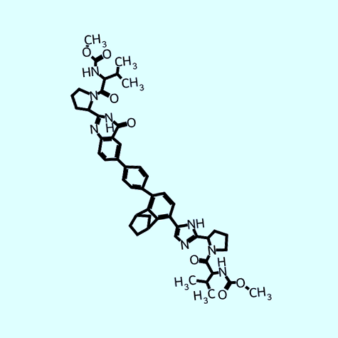 COC(=O)NC(C(=O)N1CCCC1c1ncc(-c2ccc(-c3ccc(-c4ccc5nc(C6CCCN6C(=O)C(NC(=O)OC)C(C)C)[nH]c(=O)c5c4)cc3)c3c2C2CCC3C2)[nH]1)C(C)C